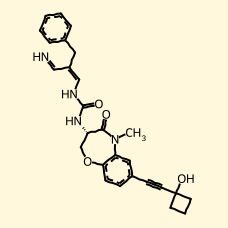 CN1C(=O)[C@@H](NC(=O)N/C=C(\C=N)Cc2ccccc2)COc2ccc(C#CC3(O)CCC3)cc21